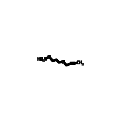 CC#CCOCCCOS(=O)(=O)O